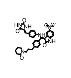 O=C1NC(=O)/C(=C/c2ccc(NC(=C3C(=O)Nc4ccc([N+](=O)[O-])cc43)c3ccc(CCCN4CCCCC4=O)cc3)cc2)N1